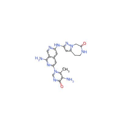 Cc1c(N)c(=O)ncn1-c1cc2cc(Nc3cc4n(n3)CC(=O)NCC4)ncc2c(N)n1